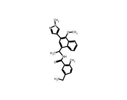 COc1c(-c2cnn(C)c2)cc(C(C)NC(=O)c2cc(CN)ccc2C)c2ccccc12